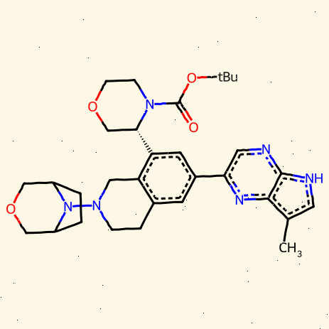 Cc1c[nH]c2ncc(-c3cc4c(c([C@@H]5COCCN5C(=O)OC(C)(C)C)c3)CN(N3C5CCC3COC5)CC4)nc12